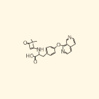 CC1(C)C(=O)C=C1NC(Cc1ccc(Oc2nccc3ccncc23)cc1)C(=O)O